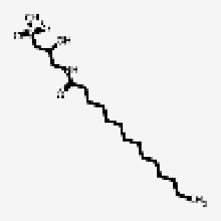 CCCCCCCCCCCCCC(=O)NCC(O)CS(C)(=O)=O